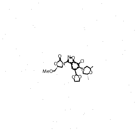 COC[C@@H]1CN(c2noc3c(Cl)c(N4C[C@@H](C)O[C@H](C)C4)c(C4OCCO4)cc23)C(=O)O1